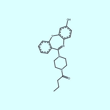 CCCC(=O)N1CCN(C2=Nc3ccc(O)cc3Sc3ccccc32)CC1